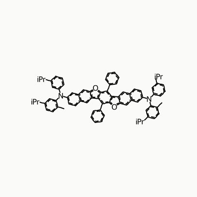 Cc1ccc(C(C)C)cc1N(c1cccc(C(C)C)c1)c1ccc2cc3c(cc2c1)oc1c(-c2ccccc2)c2c(oc4cc5cc(N(c6cccc(C(C)C)c6)c6cc(C(C)C)ccc6C)ccc5cc42)c(-c2ccccc2)c13